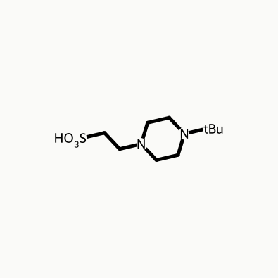 CC(C)(C)N1CCN(CCS(=O)(=O)O)CC1